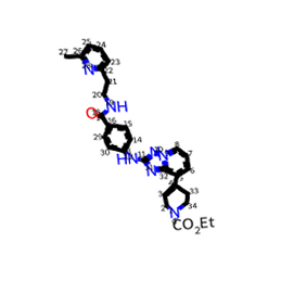 CCOC(=O)N1CC=C(c2cccn3nc(Nc4ccc(C(=O)NCCc5cccc(C)n5)cc4)nc23)CC1